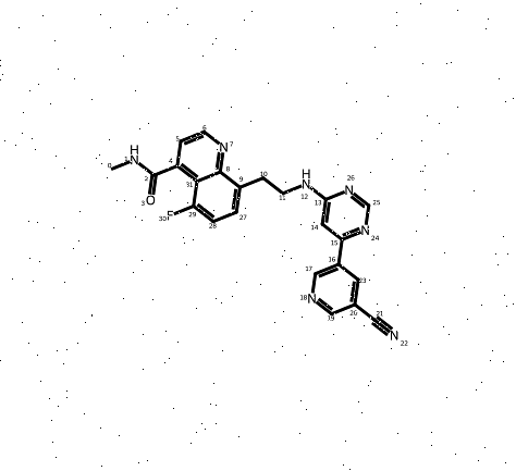 CNC(=O)c1ccnc2c(CCNc3cc(-c4cncc(C#N)c4)ncn3)ccc(F)c12